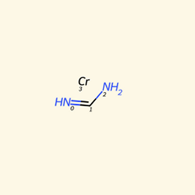 N=CN.[Cr]